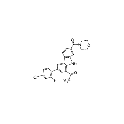 NC(=O)c1cc(-c2ccc(Cl)cc2F)cc2c1[nH]c1cc(C(=O)N3CCOCC3)ccc12